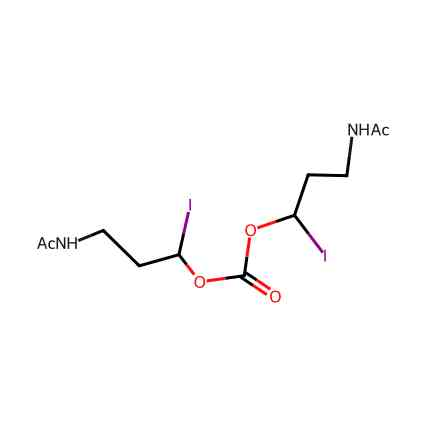 CC(=O)NCCC(I)OC(=O)OC(I)CCNC(C)=O